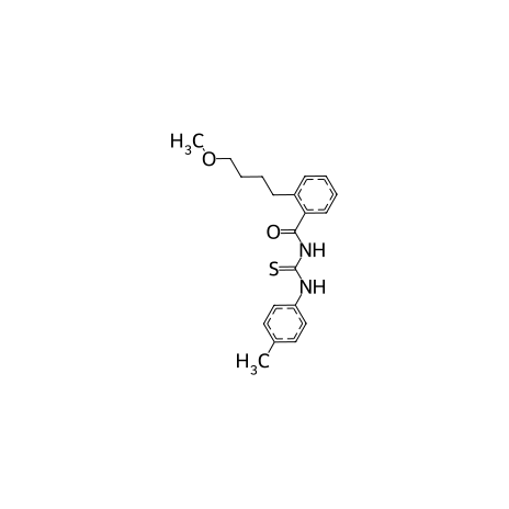 COCCCCc1ccccc1C(=O)NC(=S)Nc1ccc(C)cc1